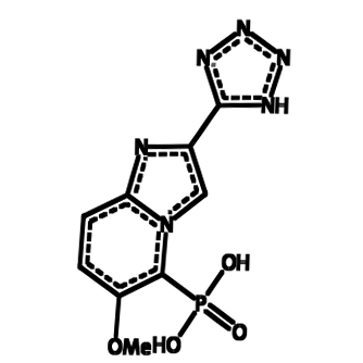 COc1ccc2nc(-c3nnn[nH]3)cn2c1P(=O)(O)O